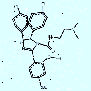 CCOc1cc(C(C)(C)C)ccc1C1=N[C@@](C)(c2ccc(Cl)cc2)[C@@H](c2ccc(Cl)cc2)N1C(=O)NCCN(C)C